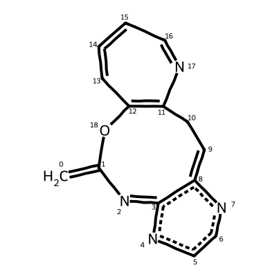 C=C1/N=c2/nccn/c2=C/CC2=C(C=C=CC=N2)O1